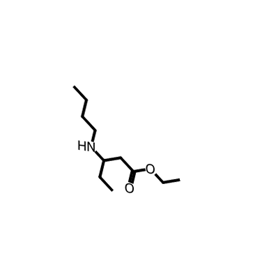 CCCCNC(CC)CC(=O)OCC